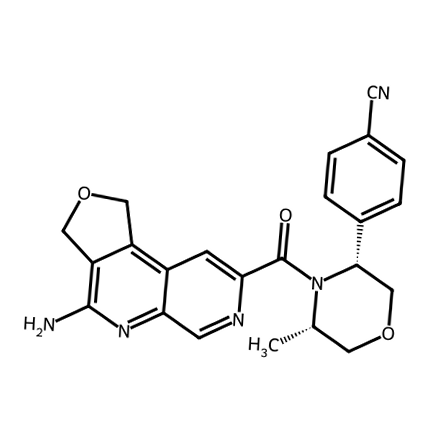 C[C@H]1COC[C@@H](c2ccc(C#N)cc2)N1C(=O)c1cc2c3c(c(N)nc2cn1)COC3